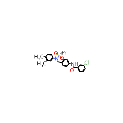 Cc1ccc(N(Cc2ccc(NC(=O)c3cccc(Cl)c3)cc2)S(=O)(=O)C(C)C)cc1C